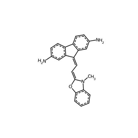 CN1C(=CC=C2c3cc(N)ccc3-c3ccc(N)cc32)Oc2ccccc21